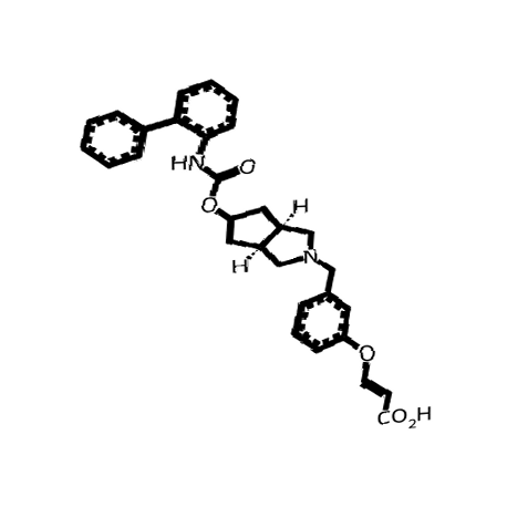 O=C(O)/C=C/Oc1cccc(CN2C[C@H]3CC(OC(=O)Nc4ccccc4-c4ccccc4)C[C@H]3C2)c1